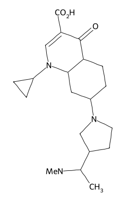 CNC(C)C1CCN(C2CCC3C(=O)C(C(=O)O)=CN(C4CC4)C3C2)C1